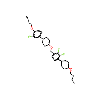 C=CCCOc1ccc(C2CCC(OCc3ccc(C4CCC(OCCCC)CC4)c(F)c3F)CC2)cc1F